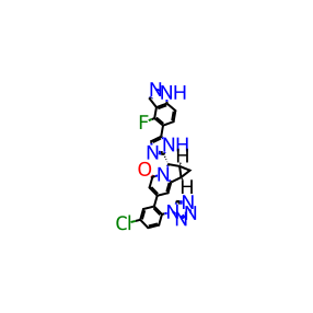 O=c1cc(-c2cc(Cl)ccc2-n2cnnn2)cc2n1[C@H](c1ncc(-c3ccc4[nH]ncc4c3F)[nH]1)[C@H]1C[C@@H]21